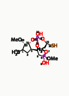 BC1C[C@H](CCP(=O)(O)OC)[C@@H](OP(=O)(O)O[C@H](C)S)[C@H]1OC